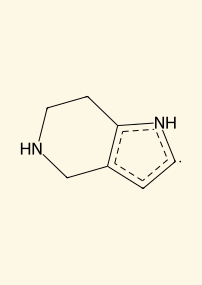 [c]1cc2c([nH]1)CCNC2